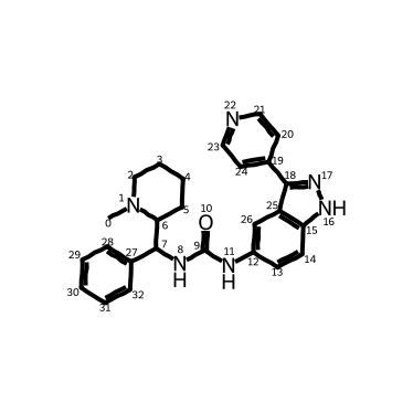 CN1CCCCC1C(NC(=O)Nc1ccc2[nH]nc(-c3ccncc3)c2c1)c1ccccc1